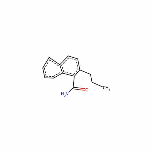 CCCc1ccc2ccccc2c1C(N)=O